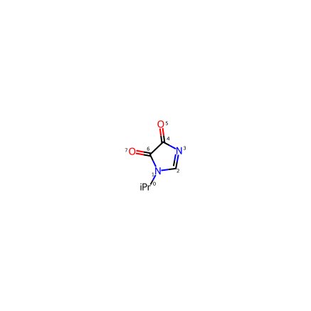 CC(C)N1C=NC(=O)C1=O